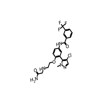 Cn1ncc(Cl)c1-c1cc(NC(=O)c2cccc(C(F)(F)F)c2)ccc1OCCNCC(N)=O